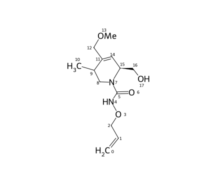 C=CCONC(=O)N1CC(C)C(COC)=C[C@H]1CO